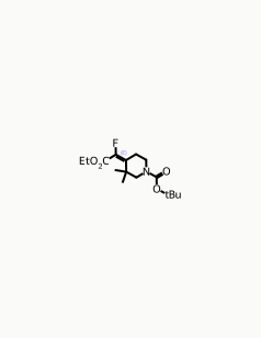 CCOC(=O)/C(F)=C1/CCN(C(=O)OC(C)(C)C)CC1(C)C